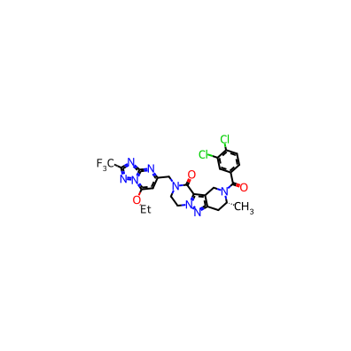 CCOc1cc(CN2CCn3nc4c(c3C2=O)CN(C(=O)c2ccc(Cl)c(Cl)c2)[C@H](C)C4)nc2nc(C(F)(F)F)nn12